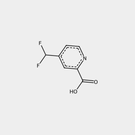 O=C(O)c1cc(C(F)F)ccn1